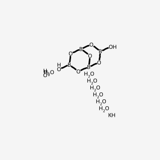 O.O.O.O.O.O.O.O.OB1OB2OB(O)OB(O1)O2.[KH]